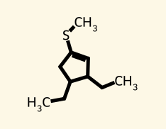 CCC1C=C(SC)CC1CC